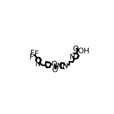 O=C(O)c1ccc(CCCN2CCN(C(=O)Oc3ccc(Cc4ccc(C(F)(F)F)cn4)cc3)CC2)nc1